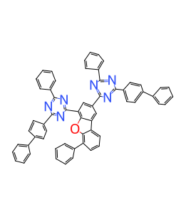 c1ccc(-c2ccc(-c3nc(-c4ccccc4)nc(-c4cc(-c5nc(-c6ccccc6)nc(-c6ccc(-c7ccccc7)cc6)n5)c5oc6c(-c7ccccc7)cccc6c5c4)n3)cc2)cc1